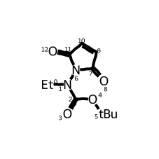 CCN(C(=O)OC(C)(C)C)N1C(=O)C=CC1=O